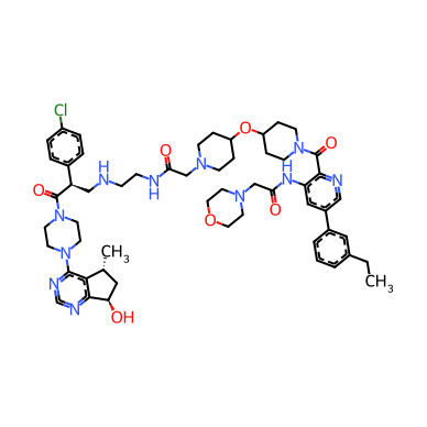 CCc1cccc(-c2cnc(C(=O)N3CCC(OC4CCN(CC(=O)NCCNC[C@@H](C(=O)N5CCN(c6ncnc7c6[C@H](C)C[C@H]7O)CC5)c5ccc(Cl)cc5)CC4)CC3)c(NC(=O)CN3CCOCC3)c2)c1